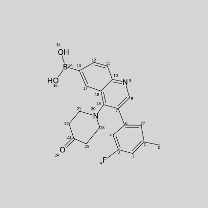 Cc1cc(F)cc(-c2cnc3ccc(B(O)O)cc3c2N2CCC(=O)CC2)c1